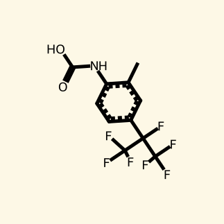 Cc1cc(C(F)(C(F)(F)F)C(F)(F)F)ccc1NC(=O)O